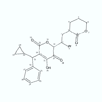 CC(C)C(CC1CCCOC1=O)C1OC(=O)C(C(c2ccccc2)C2CC2)=C(O)C1=O